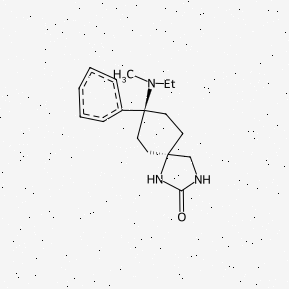 CCN(C)[C@]1(c2ccccc2)CC[C@]2(CC1)CNC(=O)N2